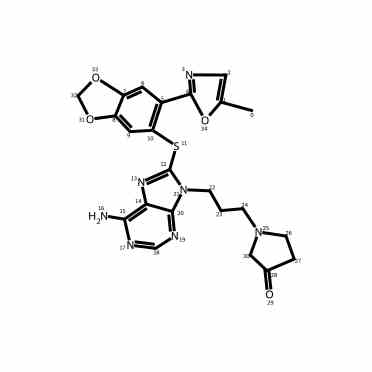 Cc1cnc(-c2cc3c(cc2Sc2nc4c(N)ncnc4n2CCCN2CCC(=O)C2)OCO3)o1